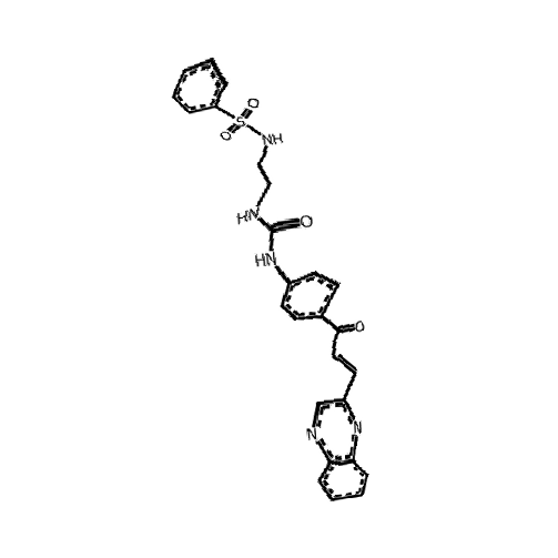 O=C(NCCNS(=O)(=O)c1ccccc1)Nc1ccc(C(=O)/C=C/c2cnc3ccccc3n2)cc1